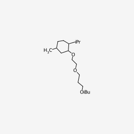 CC(C)COCCCOCCOC1CC(C)CCC1C(C)C